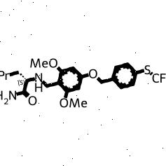 COc1cc(OCc2ccc(SC(F)(F)F)cc2)cc(OC)c1CN[C@@H](CC(C)C)C(N)=O